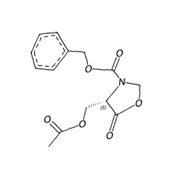 CC(=O)OC[C@H]1C(=O)OCN1C(=O)OCc1ccccc1